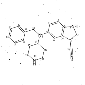 N#CC1CNc2ccc(N(Cc3ccccc3)C3CCNCC3)cc21